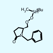 C[SiH](OOC[C@@H]1CCC(=O)N1Cc1ccccc1)C(C)(C)C